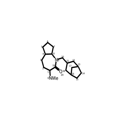 CNC1CCC2CCCC2N(CC2CC3CCC(C3)C2)C1=O